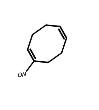 O=N/C1=C/CC/C=C\CC1